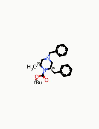 C[C@@H]1CN(Cc2ccccc2)C[C@@H](Cc2ccccc2)N1C(=O)OC(C)(C)C